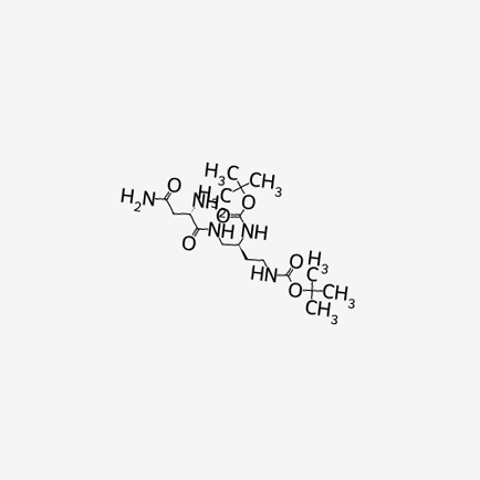 CC(C)(C)OC(=O)NCC[C@@H](CNC(=O)[C@@H](N)CC(N)=O)NC(=O)OC(C)(C)C